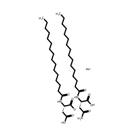 CCCCCCCCCCCCCCCC(=O)N[C@@H](CC(=O)O)C(=O)[O-].CCCCCCCCCCCCCCCC(=O)N[C@@H](CC(N)=O)C(=O)O.[Na+]